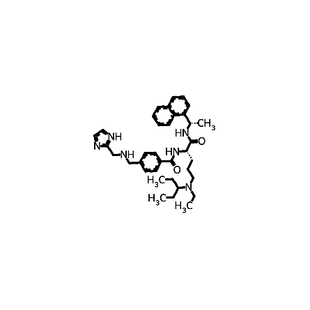 CCC(CC)N(CC)CCC[C@H](NC(=O)c1ccc(CNCc2ncc[nH]2)cc1)C(=O)N[C@@H](C)c1cccc2ccccc12